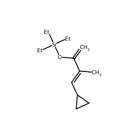 C=C(O[Si](CC)(CC)CC)/C(C)=C/C1CC1